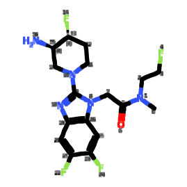 CN(CCF)C(=O)Cn1c(N2CC[C@@H](F)[C@H](N)C2)nc2cc(F)c(F)cc21